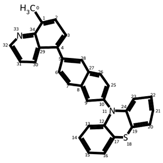 Cc1ccc(-c2ccc3cc(N4c5ccccc5Sc5ccccc54)ccc3c2)c2cccnc12